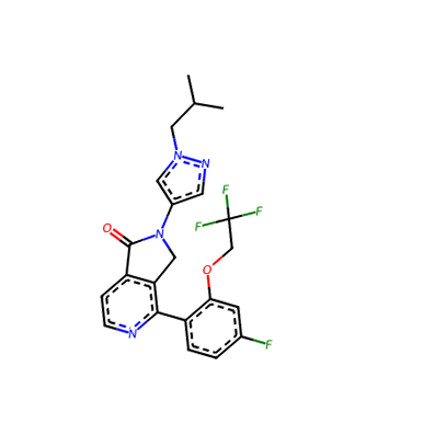 CC(C)Cn1cc(N2Cc3c(ccnc3-c3ccc(F)cc3OCC(F)(F)F)C2=O)cn1